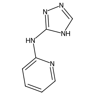 c1ccc(Nc2nnc[nH]2)nc1